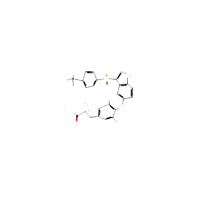 N[C@H](Cc1cc(Br)c(Oc2ccc3[nH]cc(S(=O)(=O)c4ccc(C(F)(F)F)cc4)c3c2)c(Br)c1)C(=O)O